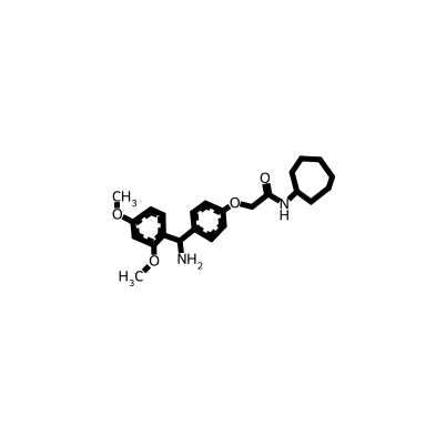 COc1ccc(C(N)c2ccc(OCC(=O)NC3CCCCCC3)cc2)c(OC)c1